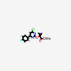 COC(=O)C1(Oc2nc(Cl)cc(-c3ccc(F)cc3)n2)CC1